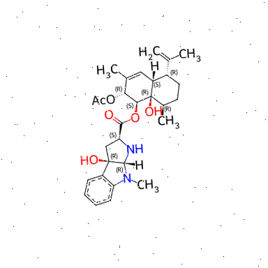 C=C(C)[C@@H]1CC[C@@H](C)[C@@]2(O)[C@@H]1C=C(C)[C@@H](OC(C)=O)[C@@H]2OC(=O)[C@@H]1C[C@@]2(O)c3ccccc3N(C)[C@H]2N1